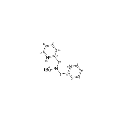 CC(C)(C)N(Cc1ccccn1)Cc1ccccn1